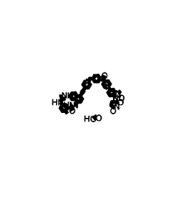 Cc1ccc(NC2CNC2)cc1C(=O)N[C@H](C)c1ccc(C#CC2CCN(CC3CCN(C(=O)C4CCN(c5ccc6c(c5)n(C)c(=O)n6C5CCC(=O)N(C)C5=O)CC4)CC3)CC2)c2ccccc12.O=CO